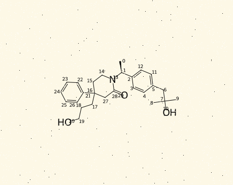 C[C@@H](c1ccc(CC(C)(C)O)cc1)N1CCC(CCCO)(c2ccccc2)CC1=O